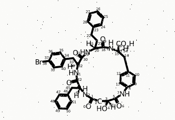 O=C1C[C@@H](O)C(=O)Nc2ccc(cc2)C[C@H](C(=O)O)NC(=O)[C@@H](CCc2ccccc2)NC(=O)[C@H](Cc2ccc(Br)cc2)NC(=O)[C@@H](Cc2ccccc2)N1